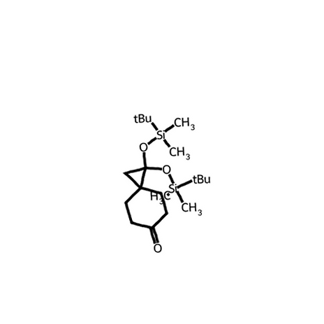 CC(C)(C)[Si](C)(C)OC1(O[Si](C)(C)C(C)(C)C)CC12CCC(=O)CC2